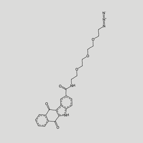 [N-]=[N+]=NCCOCCOCCOCCNC(=O)c1ccc2[nH]c3c(c2c1)C(=O)c1ccccc1C3=O